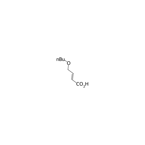 CCCCOCC=CC(=O)O